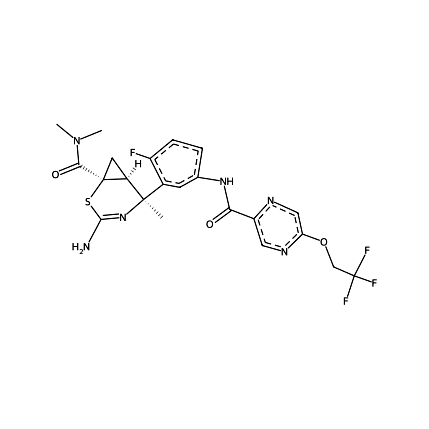 CN(C)C(=O)[C@]12C[C@H]1[C@@](C)(c1cc(NC(=O)c3cnc(OCC(F)(F)F)cn3)ccc1F)N=C(N)S2